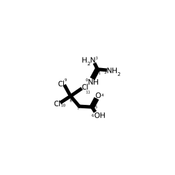 N=C(N)N.O=C(O)CC(Cl)(Cl)Cl